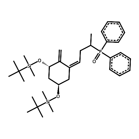 C=C1/C(=C\CC(C)P(=O)(c2ccccc2)c2ccccc2)C[C@@H](O[Si](C)(C)C(C)(C)C)C[C@@H]1O[Si](C)(C)C(C)(C)C